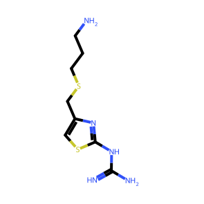 N=C(N)Nc1nc(CSCCCN)cs1